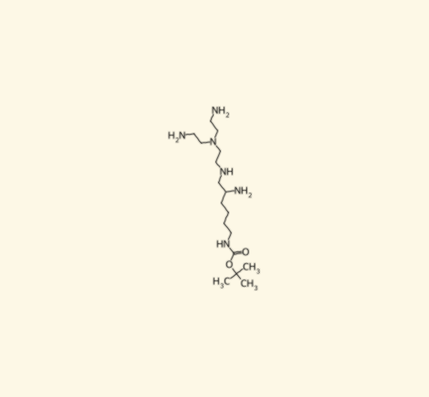 CC(C)(C)OC(=O)NCCCCC(N)CNCCN(CCN)CCN